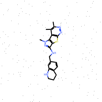 Cc1nnc2sc3c(NCc4ccc5c(c4)NCCC5)nn(C)c3c2c1C